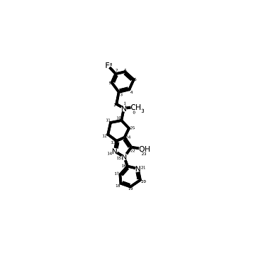 CN(Cc1cccc(F)c1)C1CCc2nn(-c3ccccn3)c(O)c2C1